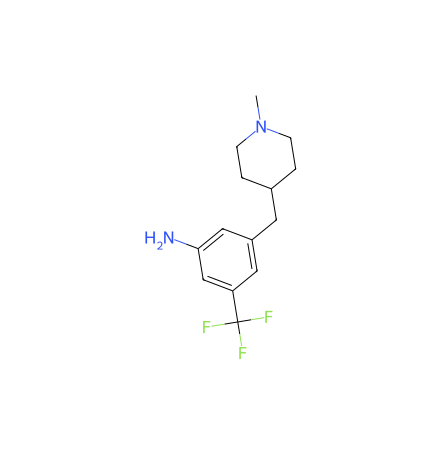 CN1CCC(Cc2cc(N)cc(C(F)(F)F)c2)CC1